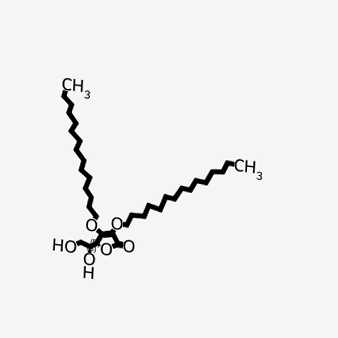 CCCCCCCCCCCCCCCOC1=C(OCCCCCCCCCCCCCCC)[C@@H]([C@@H](O)CO)OC1=O